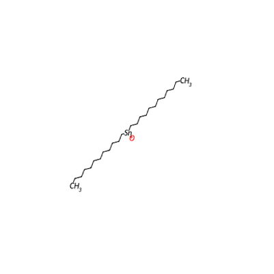 CCCCCCCCCCC[CH2][Sn](=[O])[CH2]CCCCCCCCCCC